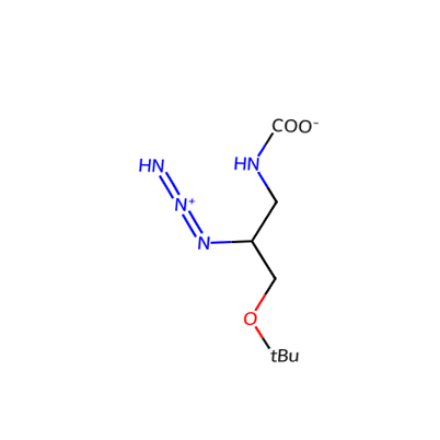 CC(C)(C)OCC(CNC(=O)[O-])N=[N+]=N